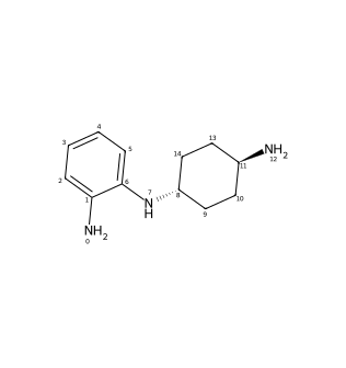 Nc1ccccc1N[C@H]1CC[C@H](N)CC1